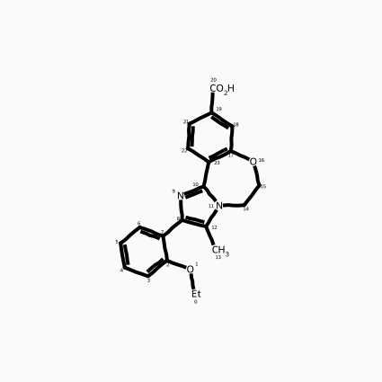 CCOc1ccccc1-c1nc2n(c1C)CCOc1cc(C(=O)O)ccc1-2